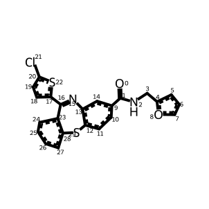 O=C(NCc1ccco1)c1ccc2c(c1)N=C(c1ccc(Cl)s1)c1ccccc1S2